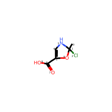 CC1(Cl)NC=C(C(=O)O)O1